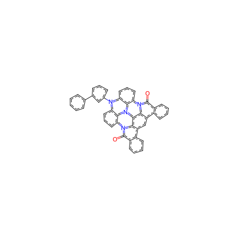 O=c1c2ccccc2c2cc3c4ccccc4c(=O)n4c5cccc6c5n5c7c(cccc7n1c2c5c34)n6-c1cccc(-c2ccccc2)c1